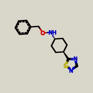 c1ccc(CON[C@H]2CC[C@H](c3ncns3)CC2)cc1